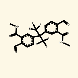 CNC(=O)c1cc(C(c2ccc(C=O)c(C(=O)NC)c2)(C(F)(F)F)C(F)(F)F)ccc1C=O